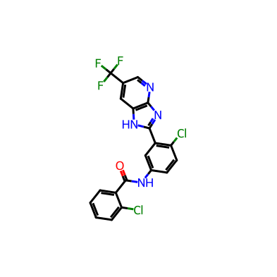 O=C(Nc1ccc(Cl)c(-c2nc3ncc(C(F)(F)F)cc3[nH]2)c1)c1ccccc1Cl